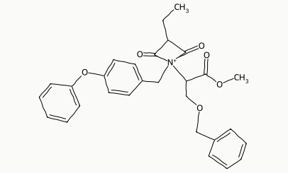 CCC1C(=O)[N+](Cc2ccc(Oc3ccccc3)cc2)(C(COCc2ccccc2)C(=O)OC)C1=O